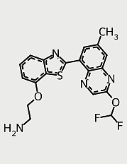 Cc1cc(-c2nc3cccc(OCCN)c3s2)c2ncc(OC(F)F)nc2c1